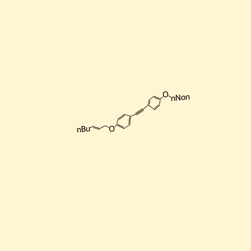 CCCCC=CCOc1ccc(C#Cc2ccc(OCCCCCCCCC)cc2)cc1